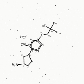 Cl.N[C@@H]1CCN(c2ncc(OCC(F)(F)F)cc2Cl)C1